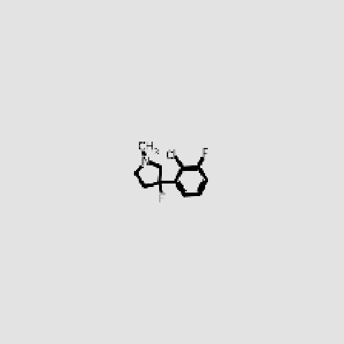 CN1CCC(F)(c2cccc(F)c2Cl)C1